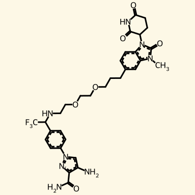 Cn1c(=O)n(C2CCC(=O)NC2=O)c2ccc(CCCOCCOCCNC(c3ccc(-n4cc(N)c(C(N)=O)n4)cc3)C(F)(F)F)cc21